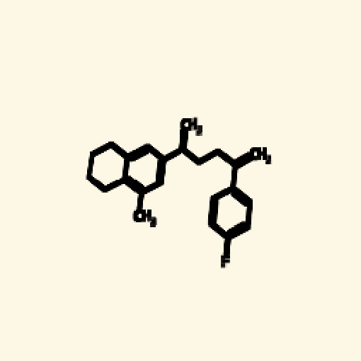 C=C(CCC(=C)c1cc(C)c2c(c1)CCCC2)c1ccc(F)cc1